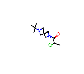 CC(Cl)C(=O)N1CC2(C1)CN(C(C)(C)C)C2